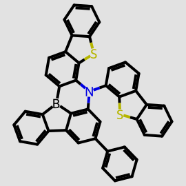 c1ccc(-c2cc3c4c(c2)N(c2cccc5c2sc2ccccc25)c2c(ccc5c2sc2ccccc25)B4c2ccccc2-3)cc1